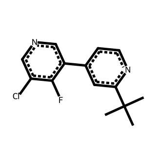 CC(C)(C)c1cc(-c2cncc(Cl)c2F)ccn1